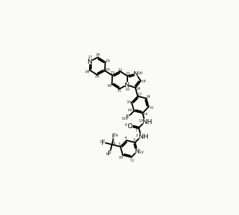 O=C(Nc1cc(C(F)(F)F)ccn1)Nc1ccc(-c2cnc3cc(-c4ccncc4)ccn23)cc1F